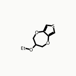 CCOC1COc2cscc2OC1